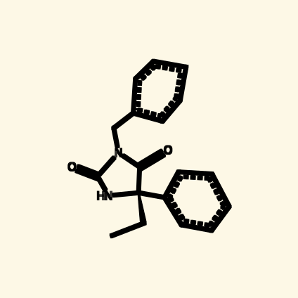 CC[C@@]1(c2ccccc2)NC(=O)N(Cc2ccccc2)C1=O